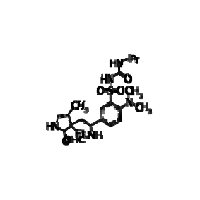 CCC1(CC(NC=O)c2ccc(N(C)C)c(S(=O)(=O)NC(=O)NC(C)C)c2)C(=O)NC=C1C